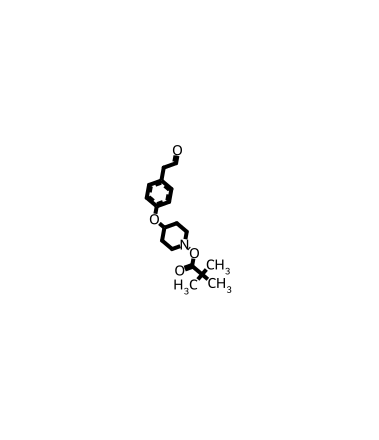 CC(C)(C)C(=O)ON1CCC(Oc2ccc(CC=O)cc2)CC1